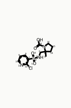 CC1(CNS(=O)(=O)c2cccnc2Cl)CCCN1C(=O)O